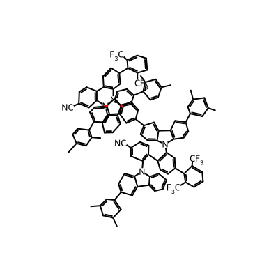 Cc1cc(C)cc(-c2ccc3c(c2)c2ccccc2n3-c2cc(C#N)ccc2-c2ccc(-c3c(C(F)(F)F)cccc3C(F)(F)F)cc2-n2c3ccc(-c4cc(C)cc(C)c4)cc3c3cc(-c4ccc5c(c4)c4cc(-c6ccc(C)cc6C)ccc4n5-c4cc(-c5c(C(F)(F)F)cccc5C(F)(F)F)ccc4-c4ccc(C#N)cc4-n4c5ccccc5c5cc(-c6ccc(C)cc6C)ccc54)ccc32)c1